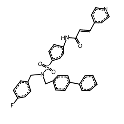 O=C(/C=C/c1ccncc1)Nc1ccc(S(=O)(=O)N(Cc2ccc(F)cc2)Cc2ccc(-c3ccccc3)cc2)cc1